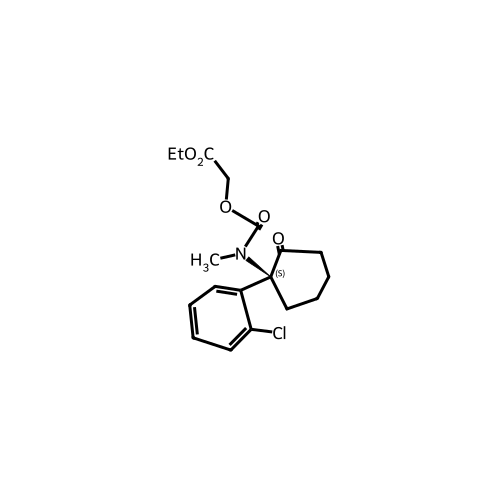 CCOC(=O)COC(=O)N(C)[C@]1(c2ccccc2Cl)CCCCC1=O